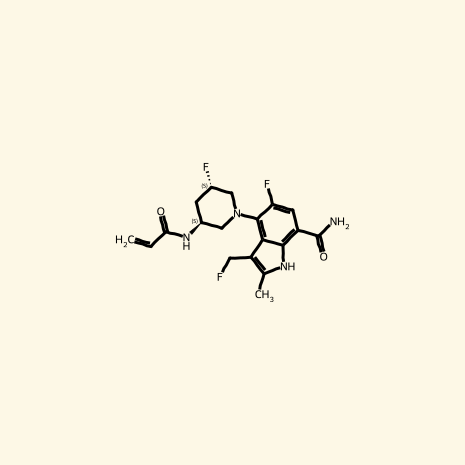 C=CC(=O)N[C@H]1C[C@H](F)CN(c2c(F)cc(C(N)=O)c3[nH]c(C)c(CF)c23)C1